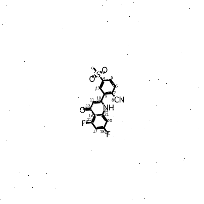 CS(=O)(=O)c1ccc(C#N)c(-c2cc(=O)c3c(F)cc(F)cc3[nH]2)c1